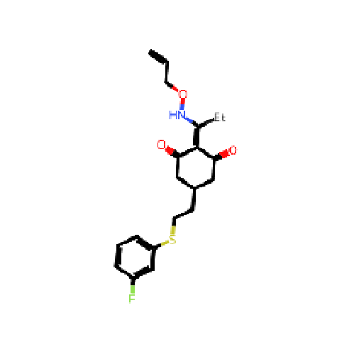 C=CCONC(CC)=C1C(=O)CC(CCSc2cccc(F)c2)CC1=O